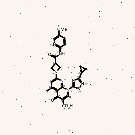 COc1ccc(NC(=O)C2CN(c3cc(C)c4c(=O)c(C(=O)O)cn(-c5nc(C6CC6)ns5)c4n3)C2)nc1